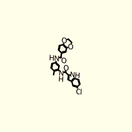 Cc1ccc(NC(=O)c2ccc3c(c2)OCCO3)cc1NC(=O)c1cc2cc(Cl)ccc2[nH]1